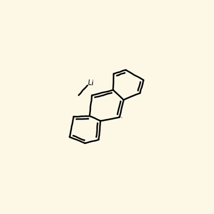 [Li][CH3].[c]1c2ccccc2cc2ccccc12